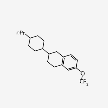 CCCC1CCC(C2CCc3cc(OC(F)(F)F)ccc3C2)CC1